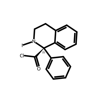 O=C(Cl)[C@]1(c2ccccc2)c2ccccc2CCN1I